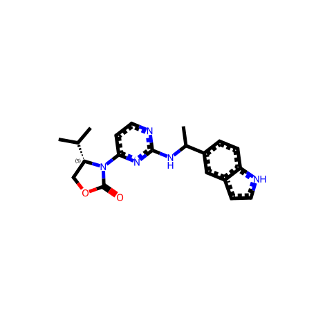 CC(Nc1nccc(N2C(=O)OC[C@@H]2C(C)C)n1)c1ccc2[nH]ccc2c1